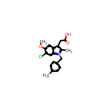 COc1cc2c(CC(=O)O)c(C)n(Cc3ccc(C)cc3)c2cc1Cl